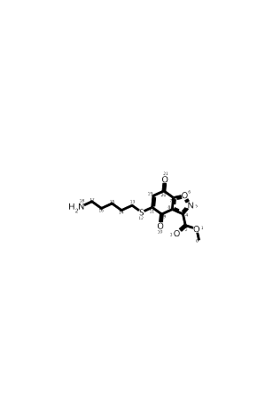 COC(=O)c1noc2c1C(=O)C(SCCCCCN)=CC2=O